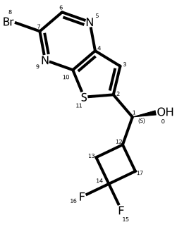 O[C@H](c1cc2ncc(Br)nc2s1)C1CC(F)(F)C1